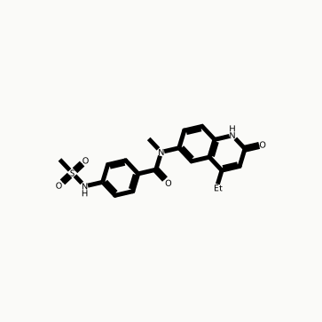 CCc1cc(=O)[nH]c2ccc(N(C)C(=O)c3ccc(NS(C)(=O)=O)cc3)cc12